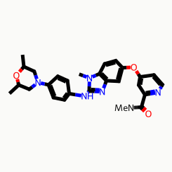 CNC(=O)c1cc(Oc2ccc3c(c2)nc(Nc2ccc(N4CC(C)OC(C)C4)cc2)n3C)ccn1